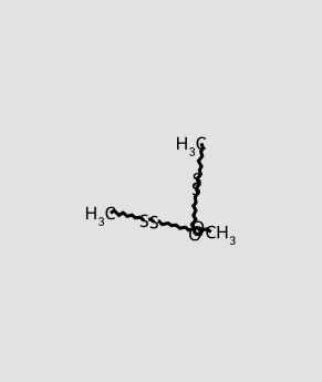 CCCCCCCCSCSCCCCCCCCC1(CCCCCCCCSCSCCCCCCCC)OCC(CC)O1